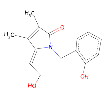 CC1=C(C)/C(=C/CO)N(Cc2ccccc2O)C1=O